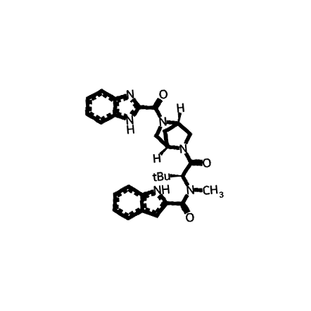 CN(C(=O)c1cc2ccccc2[nH]1)[C@H](C(=O)N1C[C@@H]2C[C@H]1CN2C(=O)c1nc2ccccc2[nH]1)C(C)(C)C